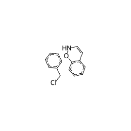 C1=Cc2ccccc2ON1.ClCc1ccccc1